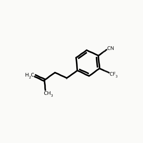 C=C(C)C[CH]c1ccc(C#N)c(C(F)(F)F)c1